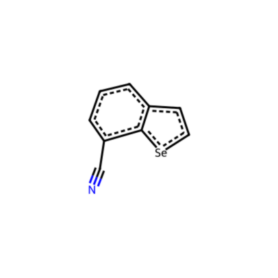 N#Cc1cccc2cc[se]c12